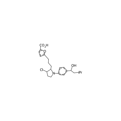 CC(C)CC(O)c1ccc(N2CCC(Cl)C2CCCc2ccc(C(=O)O)o2)cc1